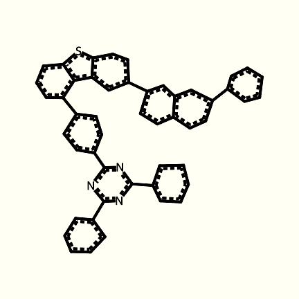 c1ccc(-c2ccc3ccc(-c4ccc5sc6cccc(-c7ccc(-c8nc(-c9ccccc9)nc(-c9ccccc9)n8)cc7)c6c5c4)cc3c2)cc1